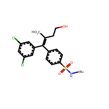 CC(C)(C)NS(=O)(=O)c1ccc(C(=C(CCO)C(=O)O)c2cc(Cl)cc(Cl)c2)cc1